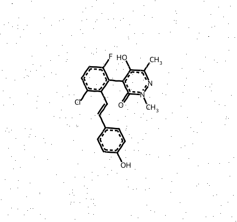 Cc1nn(C)c(=O)c(-c2c(F)ccc(Cl)c2/C=C/c2ccc(O)cc2)c1O